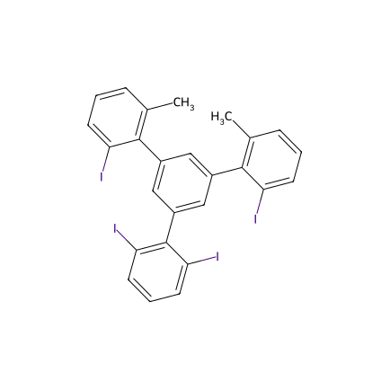 Cc1cccc(I)c1-c1cc(-c2c(C)cccc2I)cc(-c2c(I)cccc2I)c1